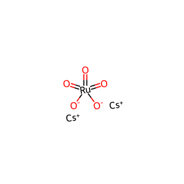 [Cs+].[Cs+].[O]=[Ru](=[O])(=[O])([O-])[O-]